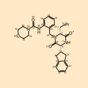 CC(C)C[C@@H]1C(=O)N[C@H](C2Cc3ccccc3C2)C(=O)N1Cc1ccccc1NC(=O)N1CCOCC1